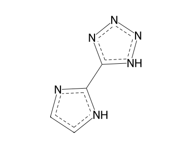 c1c[nH]c(-c2nnn[nH]2)n1